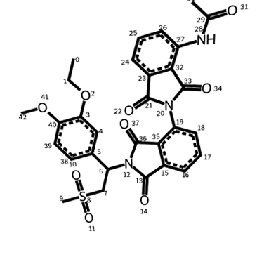 CCOc1cc(C(CS(C)(=O)=O)N2C(=O)c3cccc(N4C(=O)c5cccc(NC(C)=O)c5C4=O)c3C2=O)ccc1OC